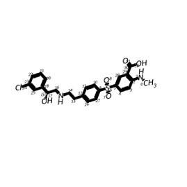 CNc1ccc(S(=O)(=O)c2ccc(CCNC[C@@H](O)c3cccc(Cl)c3)cc2)cc1C(=O)O